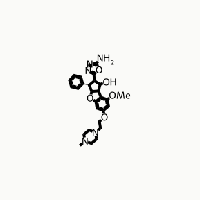 COc1cc(OCCN2CCN(C)CC2)cc2c1C1C(O)C(c3nnc(N)o3)[C@@H](c3ccccc3)C1O2